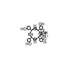 Oc1cccc(-c2c3nc(c(-c4cccc(O)c4)c4ccc([nH]4)c(-c4cccc(O)c4)c4nc(c(-c5cccc(O)c5)c5ccc2[nH]5)C(O)(C(F)(F)F)C4(O)C(F)(F)F)C=C3)c1